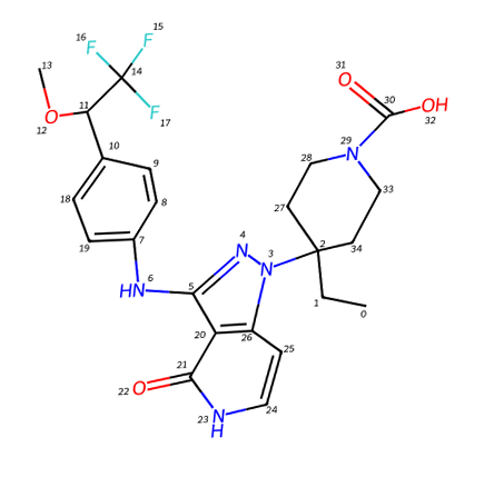 CCC1(n2nc(Nc3ccc(C(OC)C(F)(F)F)cc3)c3c(=O)[nH]ccc32)CCN(C(=O)O)CC1